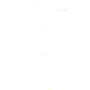 CCCCCCCC(=O)OCC1COC(C)(C(C)S)O1